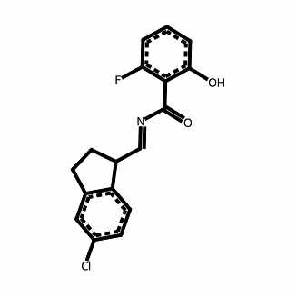 O=C(/N=C/C1CCc2cc(Cl)ccc21)c1c(O)cccc1F